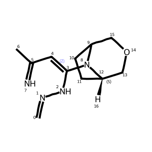 C=NN/C(=C\C(C)=N)N1C2CC[C@H]1COC2